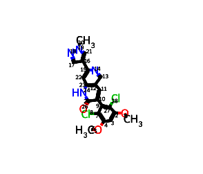 COc1cc(OC)c(Cl)c(-c2cc3cnc(-c4cnn(C)c4)cc3[nH]c2=O)c1Cl